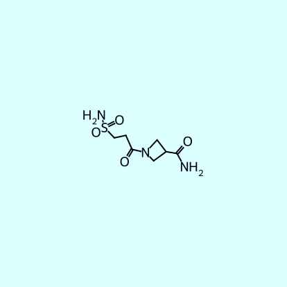 NC(=O)C1CN(C(=O)CCS(N)(=O)=O)C1